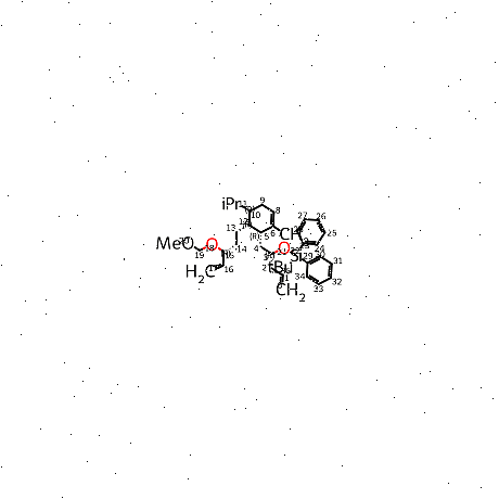 C=CC[C@H](C[C@H]1C(C)=CC[C@H](C(C)C)[C@H]1C[CH][C@H](C=C)OCOC)O[Si](c1ccccc1)(c1ccccc1)C(C)(C)C